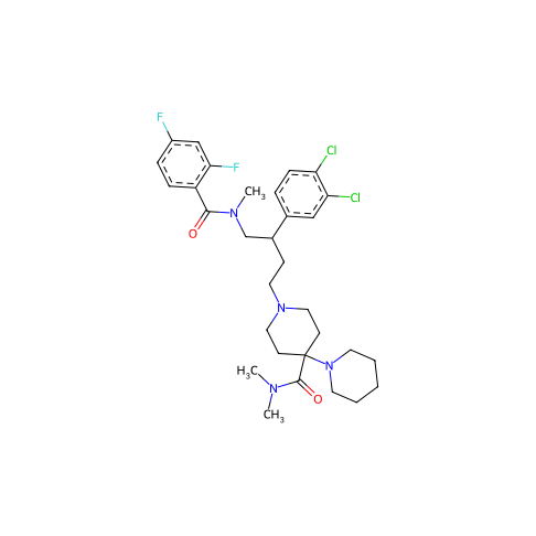 CN(C)C(=O)C1(N2CCCCC2)CCN(CCC(CN(C)C(=O)c2ccc(F)cc2F)c2ccc(Cl)c(Cl)c2)CC1